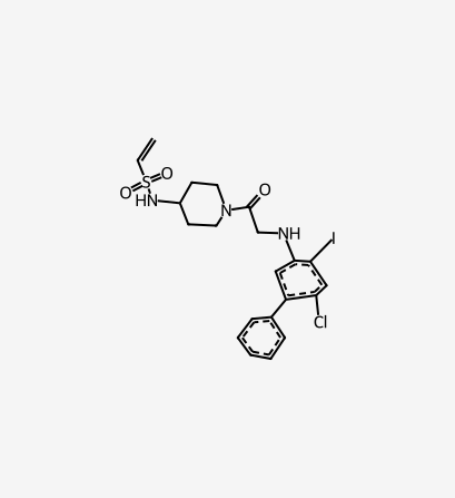 C=CS(=O)(=O)NC1CCN(C(=O)CNc2cc(-c3ccccc3)c(Cl)cc2I)CC1